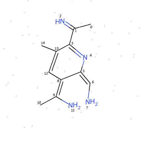 CC(=N)c1nc(=C/N)/c(=C(/C)N)cc1C